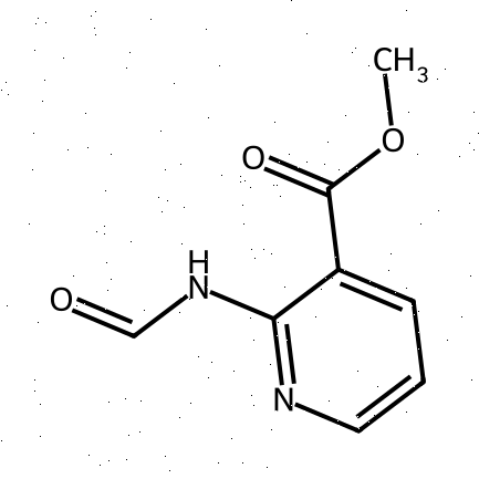 COC(=O)c1cccnc1NC=O